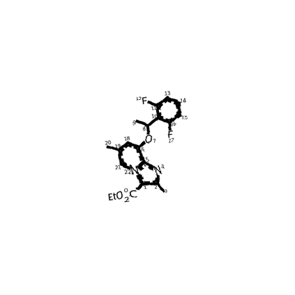 CCOC(=O)c1c(C)nc2c(OC(C)c3c(F)cccc3F)cc(C)cn12